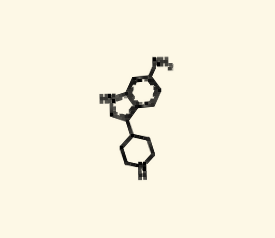 Nc1ccc2c(C3CCNCC3)c[nH]c2c1